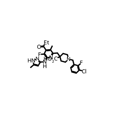 CCC(=O)c1c(C)c(CC2(C(=O)O)CCN(Cc3cccc(Cl)c3F)CC2)nc(Nc2cc(C)[nH]n2)c1F